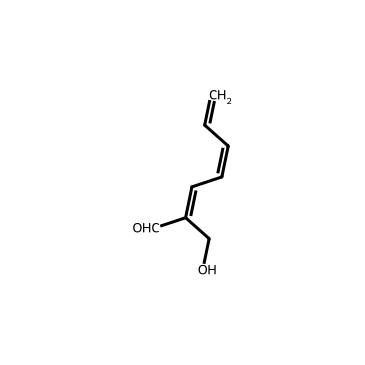 C=C/C=C\C=C(\C=O)CO